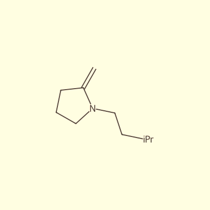 C=C1CCCN1CCC(C)C